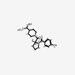 CC(C)(C)C(C(=O)O)C1CCN(C(=O)[C@@]2(C)CCCN2C(=O)c2ccc(C#N)cc2)CC1